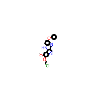 COc1cc2c(Nc3ccc(Oc4ccccc4)cc3)c(C#N)cnc2cc1OCCCl